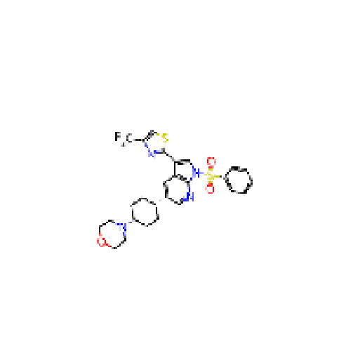 O=S(=O)(c1ccccc1)n1cc(-c2nc(C(F)(F)F)cs2)c2cc([C@H]3CC[C@@H](N4CCOCC4)CC3)cnc21